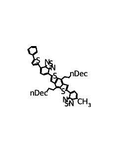 CCCCCCCCCCCCc1c2cc(-c3ccc(-c4ccc(-c5ccccc5)s4)c4nsnc34)sc2c(CCCCCCCCCCCC)c2cc(-c3ccc(C)c4nsnc34)sc12